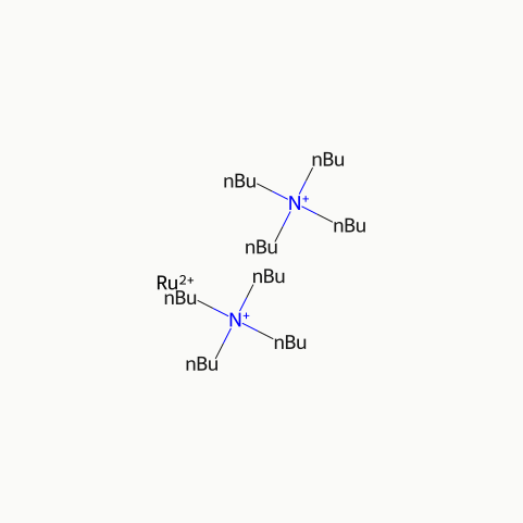 CCCC[N+](CCCC)(CCCC)CCCC.CCCC[N+](CCCC)(CCCC)CCCC.[Ru+2]